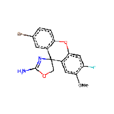 COc1cc2c(cc1F)Oc1ccc(Br)cc1C21COC(N)=N1